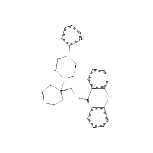 C=C(NCC1(N2CCN(c3ccccc3)CC2)CCOCC1)c1cccnc1Nc1ccccc1